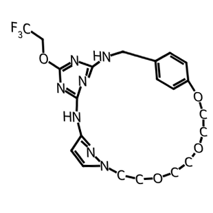 FC(F)(F)COc1nc2nc(n1)Nc1ccn(n1)CCOCCOCCOc1ccc(cc1)CN2